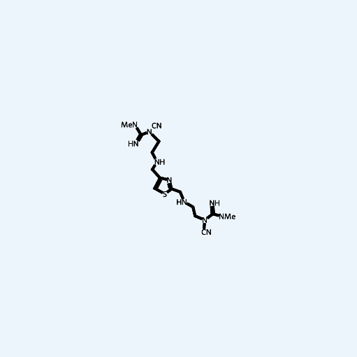 CNC(=N)N(C#N)CCNCc1csc(CNCCN(C#N)C(=N)NC)n1